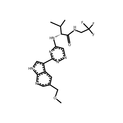 COCc1cnc2[nH]cc(-c3nncc(N[C@@H](C(=O)NCC(F)(F)F)C(C)C)n3)c2c1